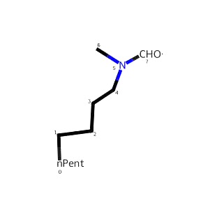 CCCCCCCCCN(C)[C]=O